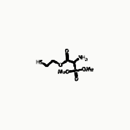 COP(=O)(OC)C(N)C(=O)OCCS